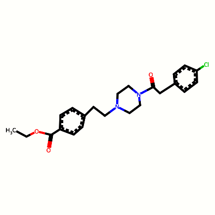 CCOC(=O)c1ccc(CCN2CCN(C(=O)Cc3ccc(Cl)cc3)CC2)cc1